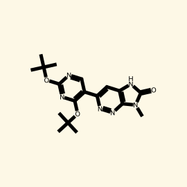 Cn1c(=O)[nH]c2cc(-c3cnc(OC(C)(C)C)nc3OC(C)(C)C)nnc21